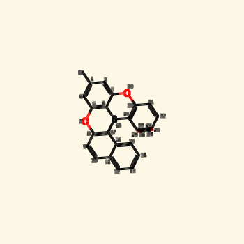 Cc1cc2c3c(c1)Oc1ccc4ccccc4c1B3c1c(ccc3ccccc13)O2